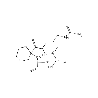 C=CC(C)(NC1(C(=O)C(CCCNC(N)=O)NC(=O)[C@@H](N)C(C)C)CCCCC1)C(C)C